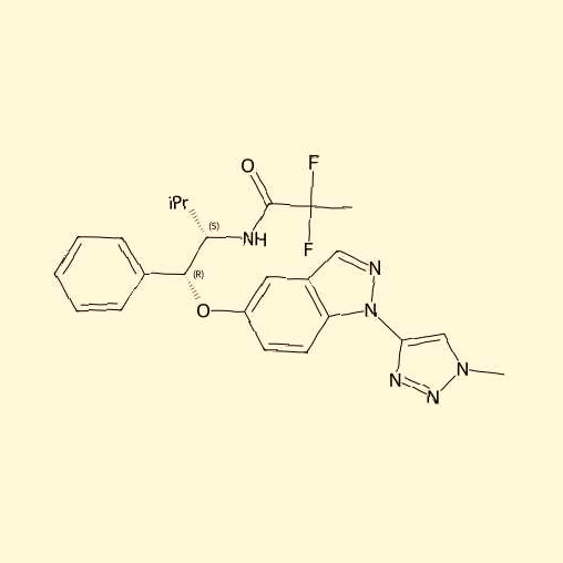 CC(C)[C@H](NC(=O)C(C)(F)F)[C@H](Oc1ccc2c(cnn2-c2cn(C)nn2)c1)c1ccccc1